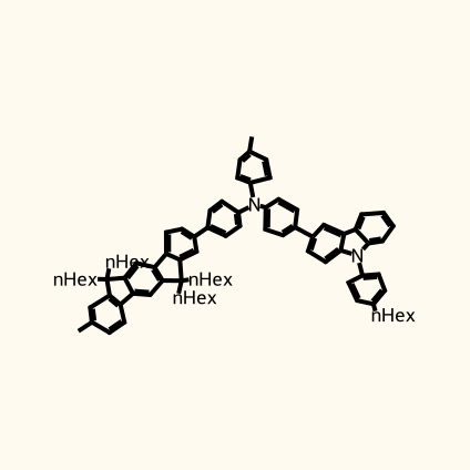 CCCCCCc1ccc(-n2c3ccccc3c3cc(-c4ccc(N(c5ccc(C)cc5)c5ccc(-c6ccc7c(c6)C(CCCCCC)(CCCCCC)c6cc8c(cc6-7)C(CCCCCC)(CCCCCC)c6cc(C)ccc6-8)cc5)cc4)ccc32)cc1